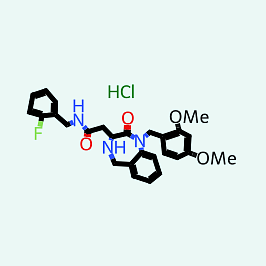 COc1ccc(CN2C(=O)C(CC(=O)NCc3ccccc3F)NCc3ccccc32)c(OC)c1.Cl